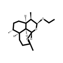 CCO[C@H]1O[C@@H]2OC3(C)CC[C@H]4[C@H](C)CC[C@@H]([C@H]1C)[C@@]24OO3